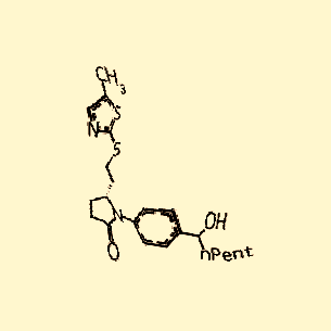 CCCCCC(O)c1ccc(N2C(=O)CC[C@@H]2CCSc2ncc(C)s2)cc1